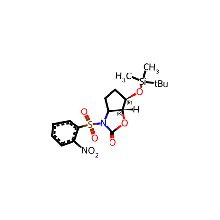 CC(C)(C)[Si](C)(C)O[C@@H]1CCC2[C@H]1OC(=O)N2S(=O)(=O)c1ccccc1[N+](=O)[O-]